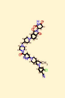 C[C@H]1CC2(CCN(c3ccc(C(=O)N4CCN(CC5CCN(c6ccc7c(c6)C(=O)N(C6CCC(=O)NC6=O)C7=O)CC5)CC4)nn3)CC2)CN1c1ccc(C#N)c(Cl)c1